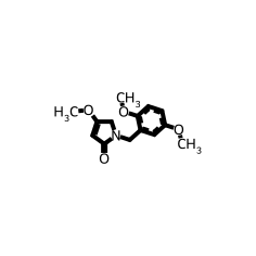 COC1=CC(=O)N(Cc2cc(OC)ccc2OC)C1